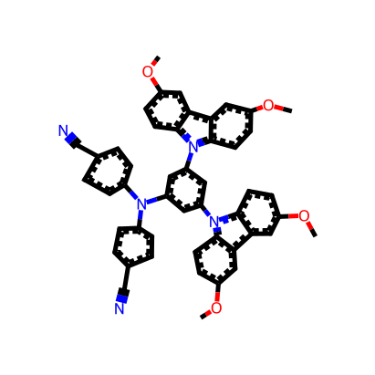 COc1ccc2c(c1)c1cc(OC)ccc1n2-c1cc(N(c2ccc(C#N)cc2)c2ccc(C#N)cc2)cc(-n2c3ccc(OC)cc3c3cc(OC)ccc32)c1